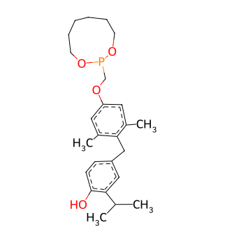 Cc1cc(OCP2OCCCCCCO2)cc(C)c1Cc1ccc(O)c(C(C)C)c1